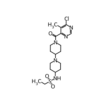 CCS(=O)(=O)NC1CCN(C2CCN(C(=O)c3ncnc(Cl)c3C)CC2)CC1